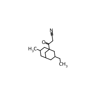 CCC1CC2CC(C)CC(C(=O)CC#N)(C1)C2